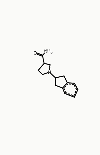 NC(=O)C1CCN(C2Cc3ccccc3C2)C1